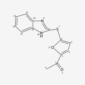 CC(=O)c1ccc(Sc2nc3ccccc3[nH]2)o1